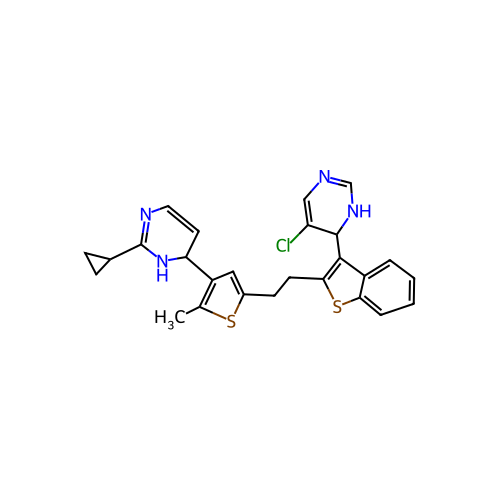 Cc1sc(CCc2sc3ccccc3c2C2NC=NC=C2Cl)cc1C1C=CN=C(C2CC2)N1